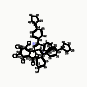 Cc1ccc(/C(=C\C2(/C=C(\c3ccc(C)cc3)c3ccc(N4CCCC4)cc3)OC(=O)c3c(Cl)c(Cl)c(Cl)c(Cl)c32)c2ccc(N3CCCC3)cc2)cc1